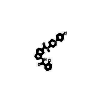 CN(C(=O)c1ccc2c(c1)[C@H](NC(=O)c1ccccc1Cl)CC2)C1CCN(c2ccc(Cl)cc2)CC1